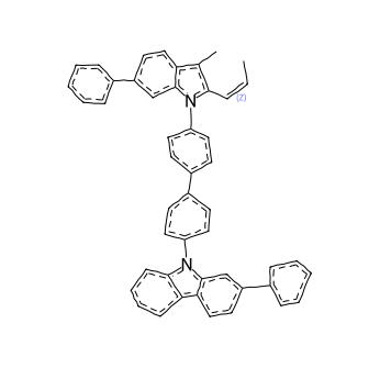 C/C=C\c1c(C)c2ccc(-c3ccccc3)cc2n1-c1ccc(-c2ccc(-n3c4ccccc4c4ccc(-c5ccccc5)cc43)cc2)cc1